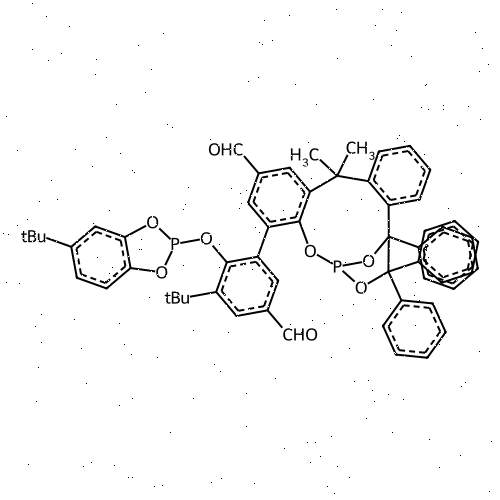 CC(C)(C)c1ccc2c(c1)OP(Oc1c(-c3cc(C=O)cc4c3OP3OC(c5ccccc5)(c5ccccc5)C(c5ccccc5)(O3)c3ccccc3C4(C)C)cc(C=O)cc1C(C)(C)C)O2